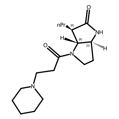 CCC[C@H]1C(=O)N[C@H]2CCN(C(=O)CCN3CCCCC3)[C@@H]21